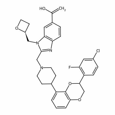 C=C(O)c1ccc2nc(CN3CCC(c4cccc5c4OC(c4ccc(Cl)cc4F)CO5)CC3)n(C[C@@H]3CCO3)c2c1